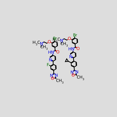 Cc1nc(-c2ccc(-c3ccc(NC(=O)c4ccc(Br)c(OCCN(C)C)c4)cn3)c(C3CC3)c2)no1.Cc1nc(-c2ccc(-c3ccc(NC(=O)c4ccc(Br)c(OCCN(C)C)c4)cn3)c(F)c2)no1